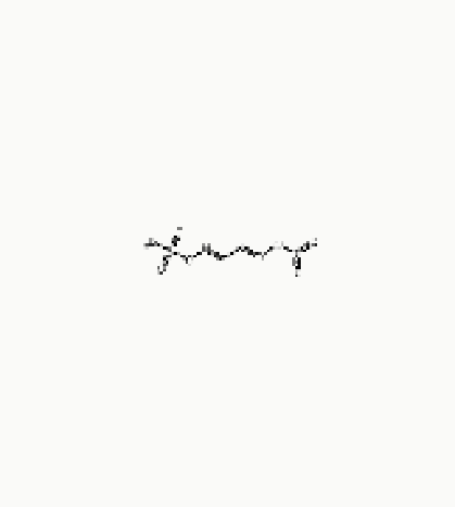 BS(=O)(=O)ON=CC=NO[SH](=O)=O